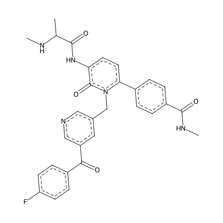 CNC(=O)c1ccc(-c2ccc(NC(=O)C(C)NC)c(=O)n2Cc2cncc(C(=O)c3ccc(F)cc3)c2)cc1